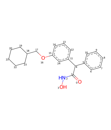 O=C(NO)C(c1ccccc1)c1cccc(OCC2CCCCC2)c1